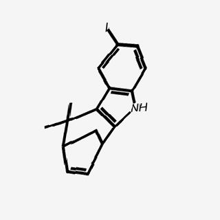 CC1(C)c2c([nH]c3ccc(I)cc23)C2C=CC1C2